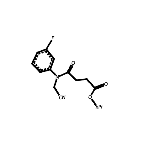 CCCOC(=O)CCC(=O)N(CC#N)c1cccc(F)c1